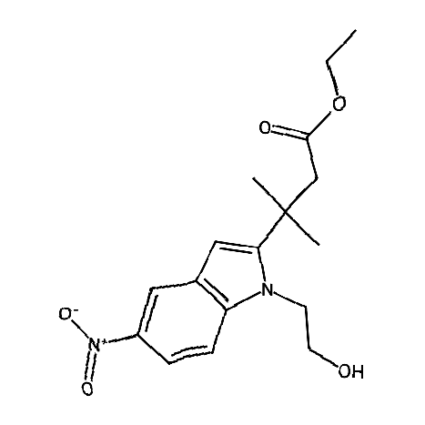 CCOC(=O)CC(C)(C)c1cc2cc([N+](=O)[O-])ccc2n1CCO